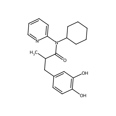 CC(Cc1ccc(O)c(O)c1)C(=O)N(c1ccccn1)C1CCCCC1